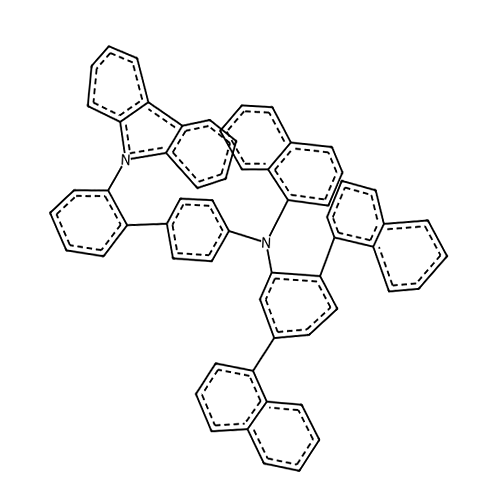 c1ccc(-n2c3ccccc3c3ccccc32)c(-c2ccc(N(c3cc(-c4cccc5ccccc45)ccc3-c3cccc4ccccc34)c3cccc4ccccc34)cc2)c1